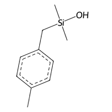 Cc1ccc(C[Si](C)(C)O)cc1